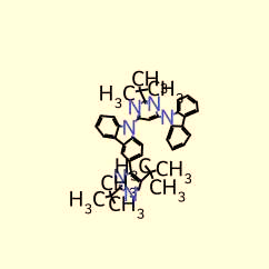 CC(C)(C)c1nc(-n2c3ccccc3c3ccccc32)cc(-n2c3ccccc3c3cc(-c4nc(C(C)(C)C)ncc4C(C)(C)C)ccc32)n1